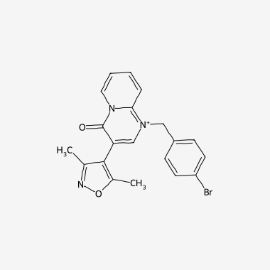 Cc1noc(C)c1-c1c[n+](Cc2ccc(Br)cc2)c2ccccn2c1=O